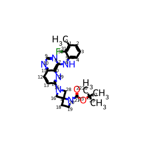 Cc1cccc(Nc2ncnc3ccc(N4CC5(CCN5C(=O)OC(C)(C)C)C4)nc23)c1F